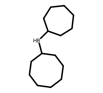 B(C1CCCCCCC1)C1CCCCCC1